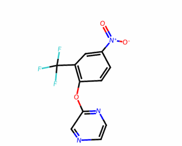 O=[N+]([O-])c1ccc(Oc2cnccn2)c(C(F)(F)F)c1